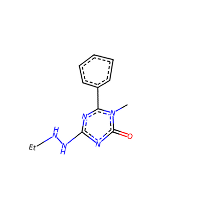 CCNNc1nc(-c2ccccc2)n(C)c(=O)n1